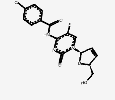 O=C(Nc1nc(=O)n([C@H]2C=C[C@@H](CO)O2)cc1F)c1ccc(Cl)cc1